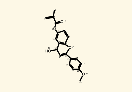 C=C(C)C(=O)Oc1ccc2c(c1)C(O)C=C(c1ccc(OC)cc1)O2